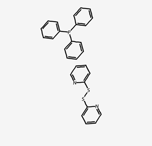 c1ccc(P(c2ccccc2)c2ccccc2)cc1.c1ccc(SSc2ccccn2)nc1